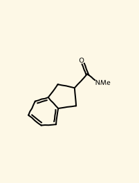 CNC(=O)C1Cc2ccccc2C1